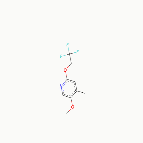 COc1cnc(OCC(F)(F)F)cc1C